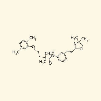 Cc1ccc(C)c(OCCCC(C)(C)C(=O)Nc2cccc(C=CC3=NC(C)(C)CO3)c2)c1